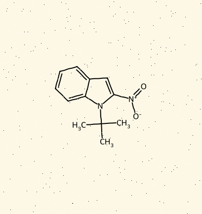 CC(C)(C)n1c([N+](=O)[O-])cc2ccccc21